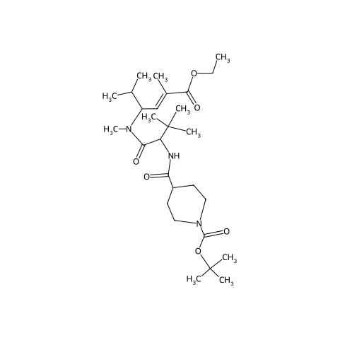 CCOC(=O)/C(C)=C/C(C(C)C)N(C)C(=O)C(NC(=O)C1CCN(C(=O)OC(C)(C)C)CC1)C(C)(C)C